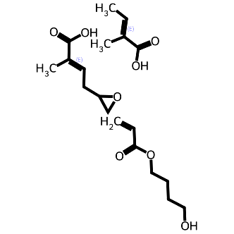 C/C(=C\CC1CO1)C(=O)O.C/C=C(\C)C(=O)O.C=CC(=O)OCCCCO